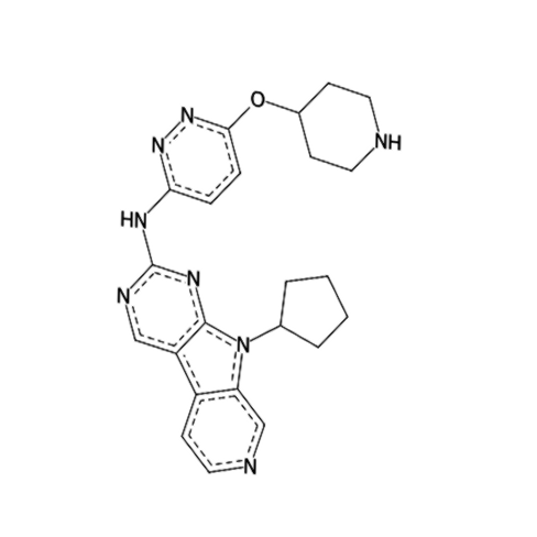 c1cc2c3cnc(Nc4ccc(OC5CCNCC5)nn4)nc3n(C3CCCC3)c2cn1